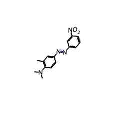 Cc1cc(/N=N/c2cccc([N+](=O)[O-])c2)ccc1N(C)C